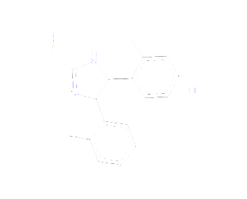 CSC1=NC(c2ccccc2C)C(c2ccccc2C)N1.I